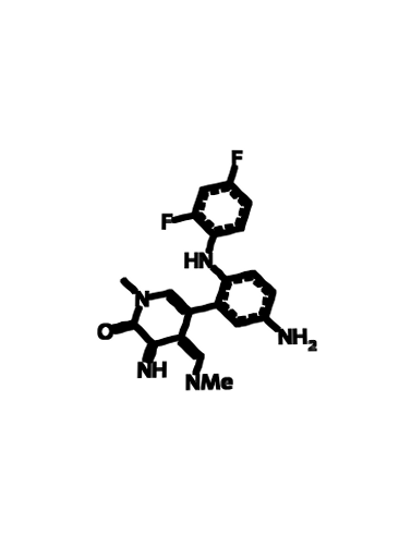 CN/C=C1\C(=N)C(=O)N(C)C=C1c1cc(N)ccc1Nc1ccc(F)cc1F